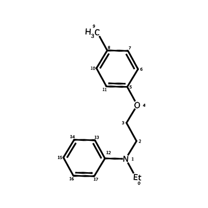 CCN(CCOc1ccc(C)cc1)c1ccccc1